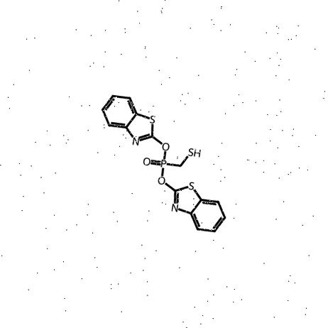 O=P(CS)(Oc1nc2ccccc2s1)Oc1nc2ccccc2s1